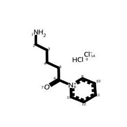 Cl.NCCCCC(=O)[n+]1ccccc1.[Cl-]